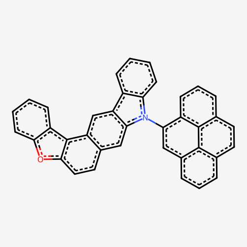 c1cc2ccc3cccc4c(-n5c6ccccc6c6cc7c(ccc8oc9ccccc9c87)cc65)cc(c1)c2c34